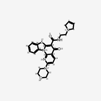 O=C(NCCN1CC=CC1)c1c(=O)c2ccc(N3CCOCC3)nc2n2c1sc1ccccc12